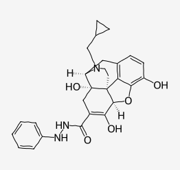 O=C(NNc1ccccc1)C1=C(O)[C@@H]2Oc3c(O)ccc4c3[C@@]23CCN(CC2CC2)[C@H](C4)[C@]3(O)C1